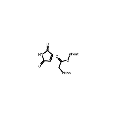 CCCCCCCCCCC(=O)OCCCCC.O=C1C=CC(=O)N1